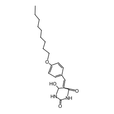 CCCCCCCCCOc1ccc(/C=C2/C(=O)NC(=O)NC2O)cc1